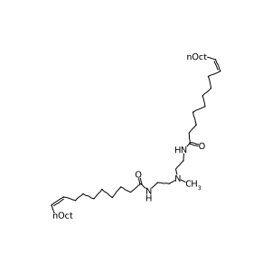 CCCCCCCC/C=C\CCCCCCCC(=O)NCCN(C)CCNC(=O)CCCCCCC/C=C\CCCCCCCC